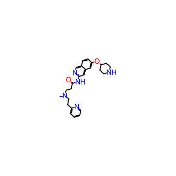 CN(CCC(=O)Nc1cc2cc(OC3CCNCC3)ccc2cn1)CCc1ccccn1